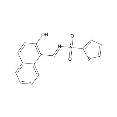 O=S(=O)(/N=C/c1c(O)ccc2ccccc12)c1cccs1